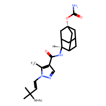 CC(=O)NC(C)(C)/C=C/n1ncc(C(=O)N[C@H]2C3CC4CC2C[C@](OC(N)=O)(C4)C3)c1C(F)(F)F